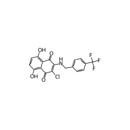 O=C1C(Cl)=C(NCc2ccc(C(F)(F)F)cc2)C(=O)c2c(O)ccc(O)c21